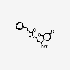 CCCC(CCNC(=O)OCc1ccccc1)N1CCC(=O)CC1=O